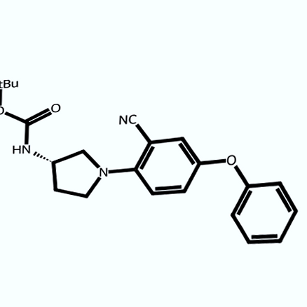 CC(C)(C)OC(=O)N[C@H]1CCN(c2ccc(Oc3ccccc3)cc2C#N)C1